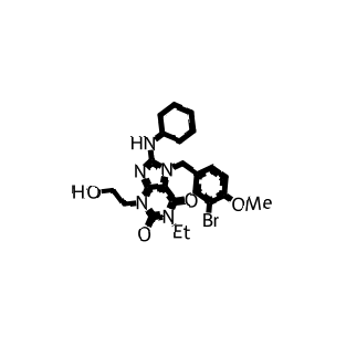 CCn1c(=O)c2c(nc(NC3CCCCC3)n2Cc2ccc(OC)c(Br)c2)n(CCO)c1=O